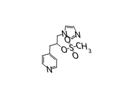 CS(=O)(=O)OC(Cc1ccncc1)Cn1ccnc1